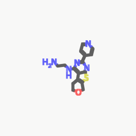 NCCNc1nc(-c2ccncc2)nc2sc3c(c12)CCOC3